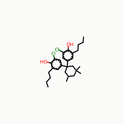 CCCCc1cc(C2(c3cc(Cl)c(O)c(CCCC)c3)CC(C)CC(C)(C)C2)cc(Cl)c1O